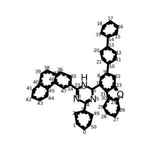 c1ccc(C2=NC(c3cc(-c4ccc(-c5ccccc5)cc4)cc4oc5ccccc5c34)NC(c3ccc4ccc5ccccc5c4c3)=N2)cc1